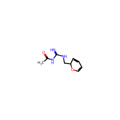 CC(=O)NC(=N)NCC1C=CC=CO1